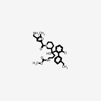 CCc1cccc(-c2c(Cl)cccc2C(O)(CCCNC(=O)OC)C2CCCN(C(=O)c3cc(CN)c(C)o3)C2)c1